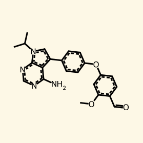 COc1cc(Oc2ccc(-c3cn(C(C)C)c4ncnc(N)c34)cc2)ccc1C=O